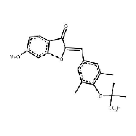 COc1ccc2c(c1)O/C(=C\c1cc(C)c(OC(C)(C)C(=O)O)c(C)c1)C2=O